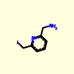 NCc1cccc(CI)n1